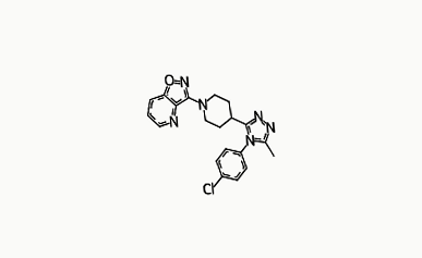 Cc1nnc(C2CCN(c3noc4cccnc34)CC2)n1-c1ccc(Cl)cc1